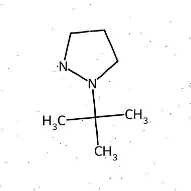 CC(C)(C)N1CCC[N]1